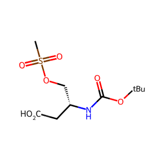 CC(C)(C)OC(=O)N[C@@H](COS(C)(=O)=O)CC(=O)O